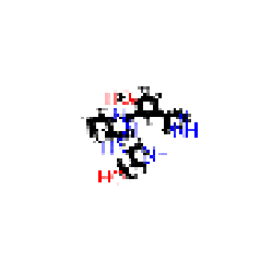 CC(C)(O)[C@@H]1CNC[C@H]1Nc1nc(-c2cc(C3C=NNC3)ccc2O)nc2ccccc12